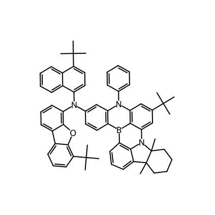 CC(C)(C)c1cc2c3c(c1)N1c4c(cccc4C4(C)CCCCC14C)B3c1ccc(N(c3ccc(C(C)(C)C)c4ccccc34)c3cccc4c3oc3c(C(C)(C)C)cccc34)cc1N2c1ccccc1